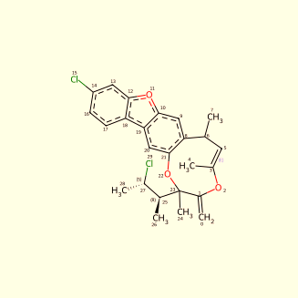 C=C1O/C(C)=C/C(C)c2cc3oc4cc(Cl)ccc4c3cc2OC1(C)[C@@H](C)[C@H](C)Cl